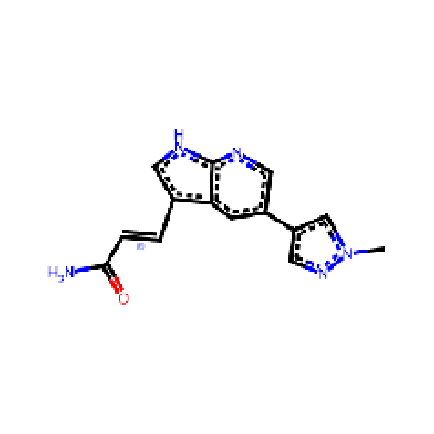 Cn1cc(-c2cnc3[nH]cc(/C=C/C(N)=O)c3c2)cn1